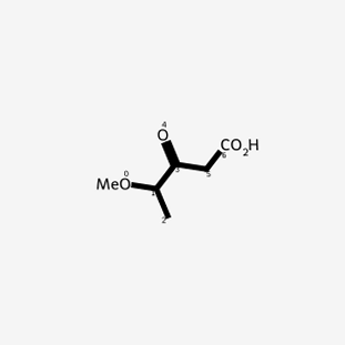 COC(C)C(=O)CC(=O)O